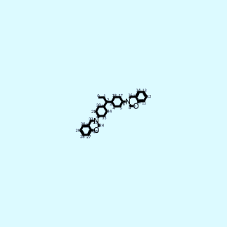 CCC(C1CCC(N2COc3ccccc3C2)CC1)C1CCC(N2COc3ccccc3C2)CC1